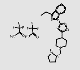 CCc1nn(-c2noc(C3CCN(C[C@@H]4CCCN4)CC3)n2)c2ccccc12.O=C(O)C(F)(F)F.O=C(O)C(F)(F)F